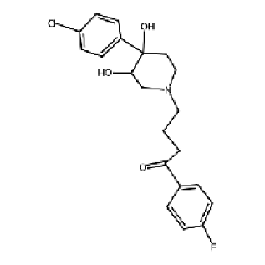 O=C(CCCN1CCC(O)(c2ccc(Cl)cc2)C(O)C1)c1ccc(F)cc1